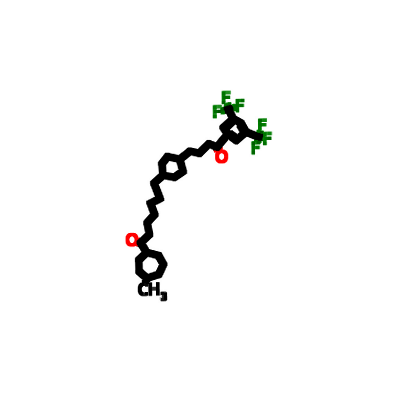 CC1CCCC(C(=O)CCCCCCC2CCC(CCCC(=O)c3cc(C(F)(F)F)cc(C(F)(F)F)c3)CC2)CC1